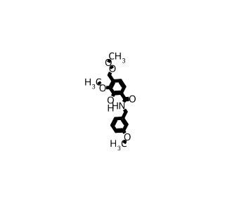 COOCc1ccc(C(=O)NCc2cccc(OC)c2)c(O)c1OC